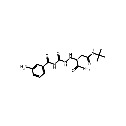 CC(C)(C)NC(=O)C[C@H](NNC(=O)NC(=O)c1cccc(N)c1)C(N)=O